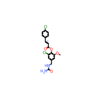 COc1cc(CNC(N)=O)cc(Cl)c1OC(=O)/C=C/c1ccc(Cl)cc1